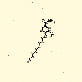 CCCCCCCCCCOc1ccc(C(N)=O)cc1OC